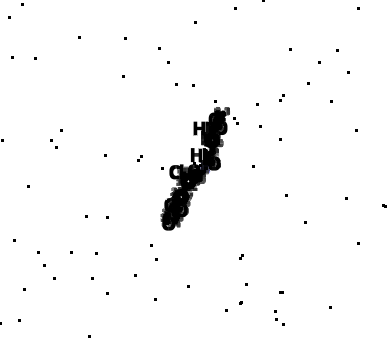 CC(C)(C)OC(=O)Nc1ccc(CNC(=O)/C=C/C2Cc3cc(-c4ccc(S(=O)(=O)N5CCOCC5)cc4)cc(Cl)c3O2)cn1